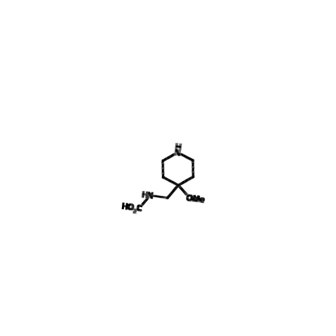 COC1(CNC(=O)O)CCNCC1